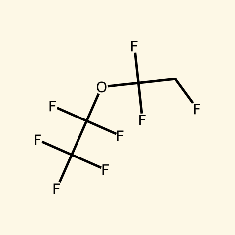 FCC(F)(F)OC(F)(F)C(F)(F)F